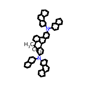 CC1(C)c2cc(N(c3ccc4ccccc4c3)c3ccc4ccc5ccccc5c4c3)ccc2-c2cc3ccc(N(c4ccc5ccccc5c4)c4ccc5ccc6ccccc6c5c4)cc3c3cccc1c23